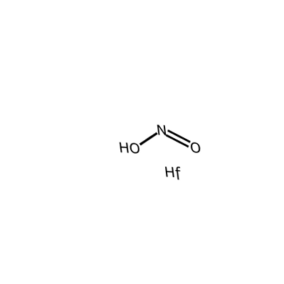 O=NO.[Hf]